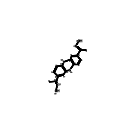 CC(=NO)c1ccc2c(c1)Sc1ccc(C(C)=NO)cc1S2